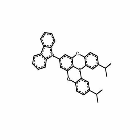 CC(C)c1ccc2c(c1)B1c3cc(C(C)C)ccc3Oc3cc(-n4c5ccccc5c5ccccc54)cc(c31)O2